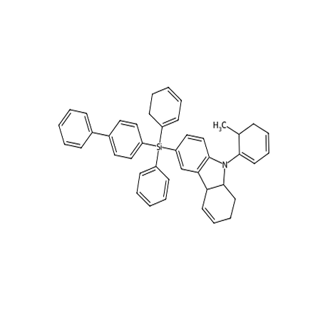 CC1CC=CC=C1N1c2ccc([Si](C3=CC=CCC3)(c3ccccc3)c3ccc(-c4ccccc4)cc3)cc2C2C=CCCC21